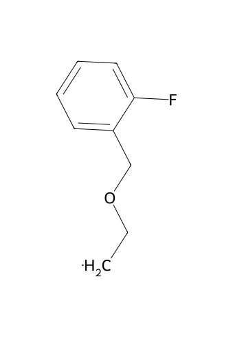 [CH2]COCc1ccccc1F